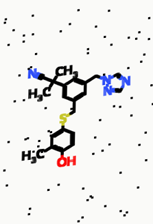 Cc1cc(SCc2cc(Cn3cncn3)cc(C(C)(C)C#N)c2)ccc1O